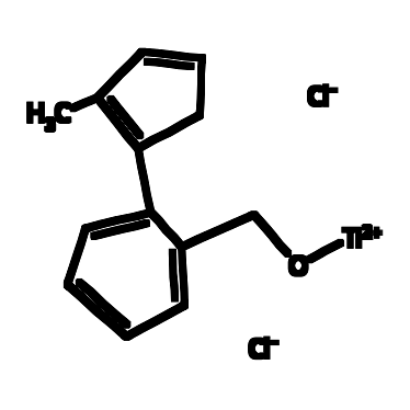 CC1=C(c2ccccc2C[O][Ti+2])CC=C1.[Cl-].[Cl-]